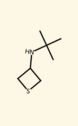 CC(C)(C)NC1CSC1